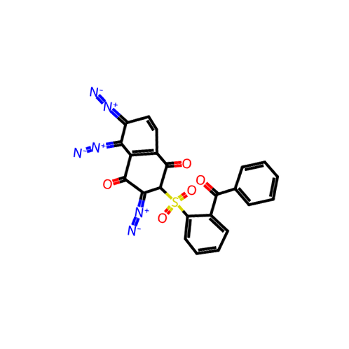 [N-]=[N+]=C1C=CC2=C(C(=O)C(=[N+]=[N-])C(S(=O)(=O)c3ccccc3C(=O)c3ccccc3)C2=O)C1=[N+]=[N-]